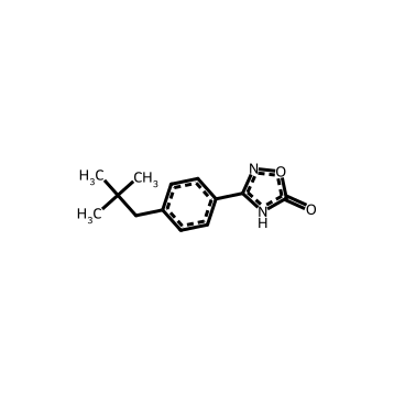 CC(C)(C)Cc1ccc(-c2noc(=O)[nH]2)cc1